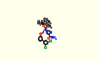 C[C@H](O[Si](C)(C)C(C)(C)C)[C@@H](CCOc1cccc(-c2cc(Cl)cc(Cl)c2)c1)n1cnc(C(N)=O)c1